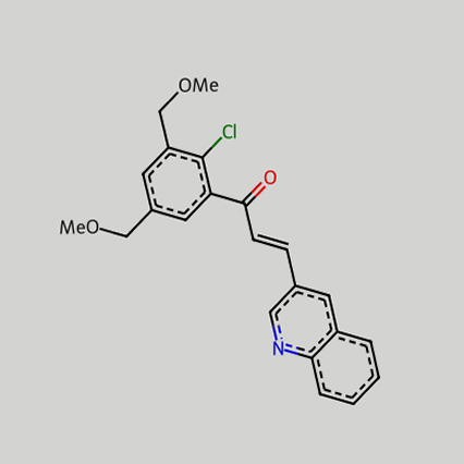 COCc1cc(COC)c(Cl)c(C(=O)/C=C/c2cnc3ccccc3c2)c1